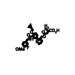 COc1ccc(CNC(=O)c2cc(-c3ncccc3COC(=O)CC(N)C(=O)O)ccc2OCC2CC2)cc1F